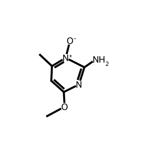 COc1cc(C)[n+]([O-])c(N)n1